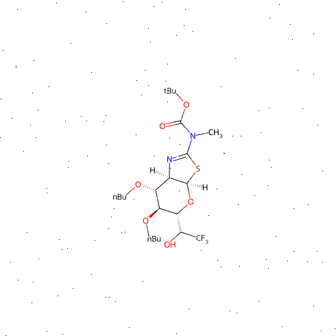 CCCCO[C@@H]1[C@H]2N=C(N(C)C(=O)OC(C)(C)C)S[C@H]2O[C@H](C(O)C(F)(F)F)[C@H]1OCCCC